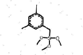 CO[Si](Cc1cc(C)cc(C)c1)(OC)OC